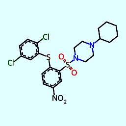 O=[N+]([O-])c1ccc(Sc2cc(Cl)ccc2Cl)c(S(=O)(=O)N2CCN(C3CCCCC3)CC2)c1